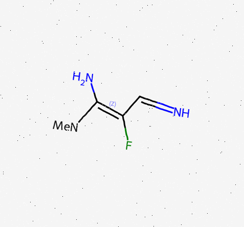 CN/C(N)=C(\F)C=N